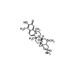 CC1=C(O)C(=O)C=C2C1=CC=C1[C@@]2(C)CC[C@@]2(C)[C@@H]3C[C@@H](C)C(CS(N)(=O)=O)C[C@]3(C)CC[C@]12C